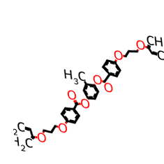 C=CC(=C)OCCCOc1ccc(C(=O)Oc2ccc(OC(=O)c3ccc(OCCCOC(=C)C=C)cc3)c(C)c2)cc1